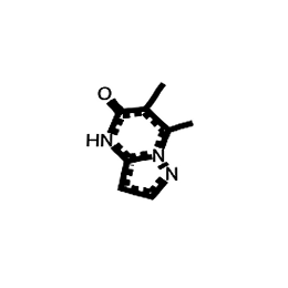 Cc1c(C)n2nccc2[nH]c1=O